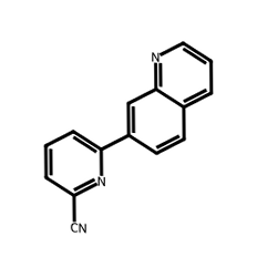 N#Cc1cccc(-c2ccc3cccnc3c2)n1